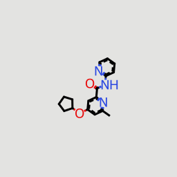 Cc1cc(OC2CCCC2)cc(C(=O)Nc2ccccn2)n1